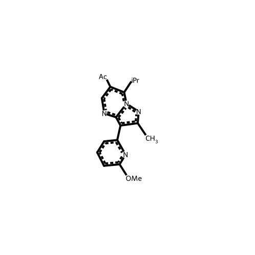 COc1cccc(-c2c(C)nn3c(C(C)C)c(C(C)=O)cnc23)n1